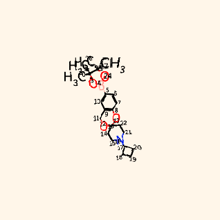 CC1(C)OB(c2ccc3c(c2)COC2(CCN(C4CCC4)CC2)O3)OC1(C)C